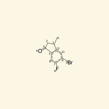 CC1CC(=O)c2cc(F)c(Br)cc21